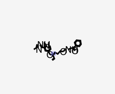 C=C/C(=C\CCOCNCC(=O)c1ccccc1)Oc1ccnc(-c2nc(C)c[nH]2)c1